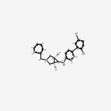 Fc1ccc(Cl)c(-c2ccc(NC3[C@H]4CN(Cc5ccccn5)C[C@@H]34)nn2)c1